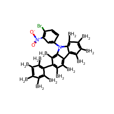 Bc1c(B)c(B)c(-c2c(B)c(B)c3c4c(B)c(B)c(B)c(B)c4n(-c4ccc(Br)c([N+](=O)[O-])c4)c3c2B)c(B)c1B